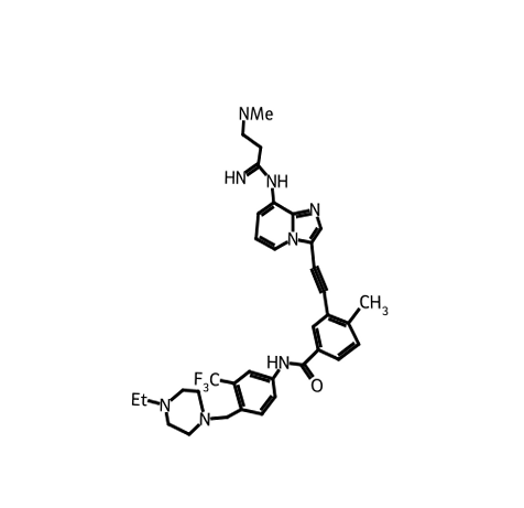 CCN1CCN(Cc2ccc(NC(=O)c3ccc(C)c(C#Cc4cnc5c(NC(=N)CCNC)cccn45)c3)cc2C(F)(F)F)CC1